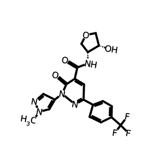 Cn1cc(-n2nc(-c3ccc(C(F)(F)F)cc3)cc(C(=O)N[C@@H]3COC[C@@H]3O)c2=O)cn1